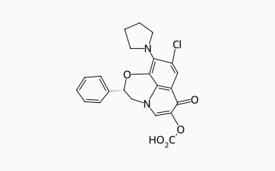 O=C(O)Oc1cn2c3c(c(N4CCCC4)c(Cl)cc3c1=O)O[C@@H](c1ccccc1)C2